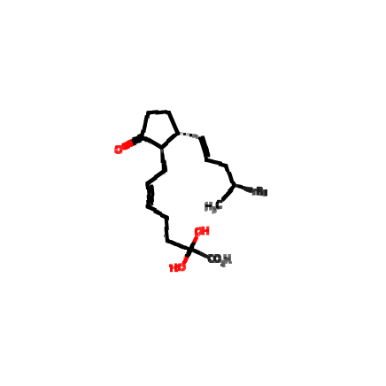 CCCC[C@@H](C)C/C=C/[C@H]1CCC(=O)[C@@H]1C/C=C\CCC(O)(O)C(=O)O